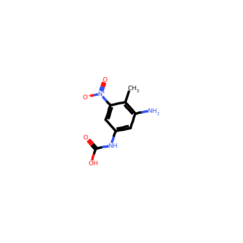 Cc1c(N)cc(NC(=O)O)cc1[N+](=O)[O-]